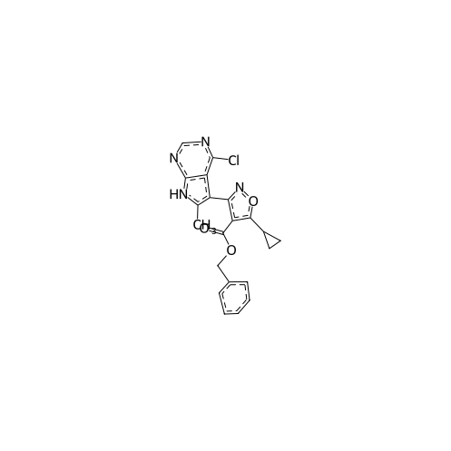 Cc1[nH]c2ncnc(Cl)c2c1-c1noc(C2CC2)c1C(=O)OCc1ccccc1